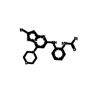 CCC(=O)Nc1ccccc1Nc1cc(N2CCOCC2)n2nc(CC)cc2n1